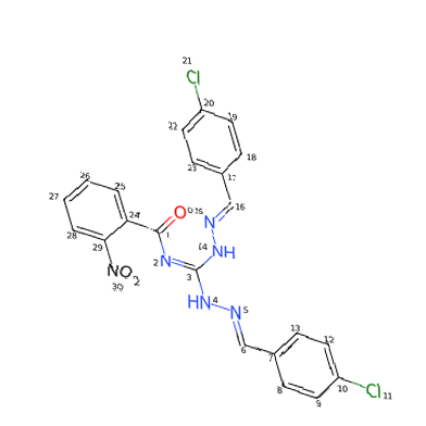 O=C(N=C(NN=Cc1ccc(Cl)cc1)NN=Cc1ccc(Cl)cc1)c1ccccc1[N+](=O)[O-]